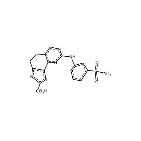 NS(=O)(=O)c1cccc(Nc2ncc3c(n2)-c2sc(C(=O)O)nc2CC3)c1